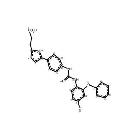 O=C(O)CCc1ncc(-c2ccc(NC(=O)Nc3ccc(Cl)cc3Oc3ccccc3)cc2)s1